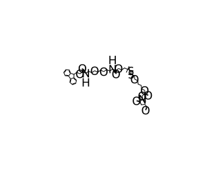 CC(C)(CCOC(=O)NCCOCCOCCNC(=O)OCC1c2ccccc2-c2ccccc21)SSCOCCCCOC(=O)ON1CC(C=O)CC1=O